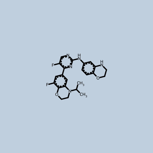 CC(C)N1CCOc2c(F)cc(-c3nc(Nc4ccc5c(c4)NCCO5)ncc3F)cc21